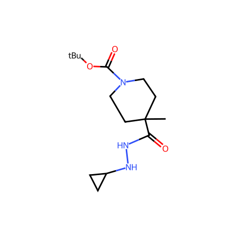 CC(C)(C)OC(=O)N1CCC(C)(C(=O)NNC2CC2)CC1